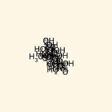 CC(=O)N[C@H]1[C@H]([C@H](O)[C@H](O)CO)O[C@@](O[C@H]2[C@@H](O)[C@@H](CO)O[C@@H](O[C@@H]([C@H](O)[C@@H](N)C=O)[C@H](O)CO)[C@@H]2O)(C(=O)O)C[C@@H]1O